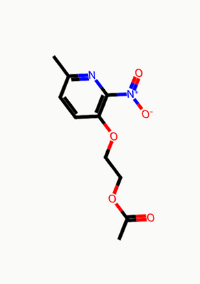 CC(=O)OCCOc1ccc(C)nc1[N+](=O)[O-]